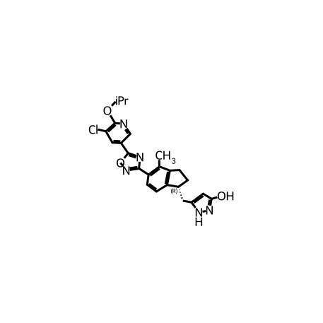 Cc1c(-c2noc(-c3cnc(OC(C)C)c(Cl)c3)n2)ccc2c1CC[C@@H]2Cc1cc(O)n[nH]1